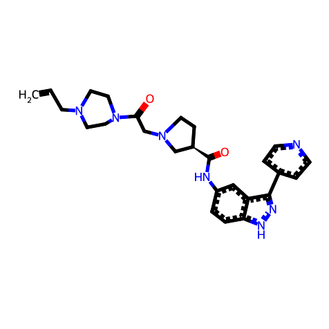 C=CCN1CCN(C(=O)CN2CC[C@@H](C(=O)Nc3ccc4[nH]nc(-c5ccncc5)c4c3)C2)CC1